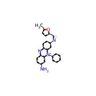 Cc1ccc(/C=N\c2ccc3nc4ccc(N)cc4[n+](-c4ccccc4)c3c2)o1